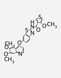 COc1cc2nccc(Oc3ccc4nc(NC(=O)c5cscc5OC)sc4c3)c2cc1OC